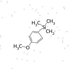 [CH2][Si](C)(C)c1ccc(OC)cc1